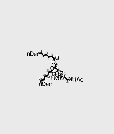 CCCCCCCCCCCCCCCC(=O)OCC(CO[P+]([O-])(O)OCCNC(C)=O)OC(=O)CCCCCCCCCCCCCCC